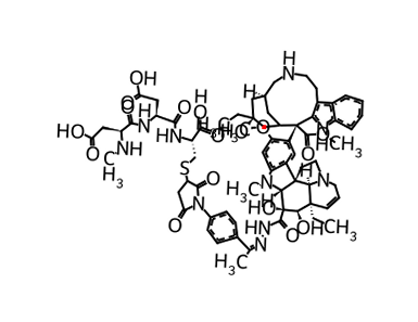 CC[C@@]1(O)CC2C[C@H](CNCCc3c([nH]c4ccccc34)[C@@]2(C(=O)OC)c2cc3c(cc2OC)N(C)[C@H]2[C@@](O)(C(=O)NN=C(C)c4ccc(N5C(=O)CC(SC[C@H](NC(=O)[C@H](CC(=O)O)NC(=O)[C@H](CC(=O)O)NC)C(=O)O)C5=O)cc4)[C@H](O)[C@]4(CC)C=CCN5CC[C@]32[C@@H]54)C1